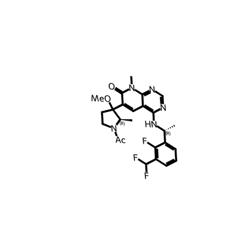 COC1(c2cc3c(N[C@H](C)c4cccc(C(F)F)c4F)ncnc3n(C)c2=O)CCN(C(C)=O)[C@@H]1C